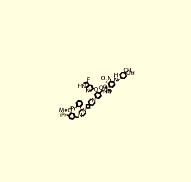 COc1cc(CN2CCN(C3CC4(CCN(c5ccc(C(=O)NS(=O)(=O)c6ccc(NC[C@H]7CC[C@](C)(O)CC7)c([N+](=O)[O-])c6)c(Oc6cnc7[nH]cc(F)c7c6)c5)CC4)C3)[C@H](c3ccccc3C(C)C)C2)ccc1C(C)C